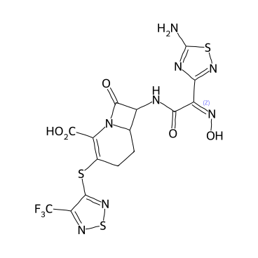 Nc1nc(/C(=N/O)C(=O)NC2C(=O)N3C(C(=O)O)=C(Sc4nsnc4C(F)(F)F)CCC23)ns1